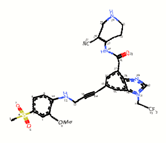 COc1cc(S(C)(=O)=O)ccc1NCC#Cc1cc(C(=O)NC2CCNCC2C#N)c2ncn(CC(F)(F)F)c2c1